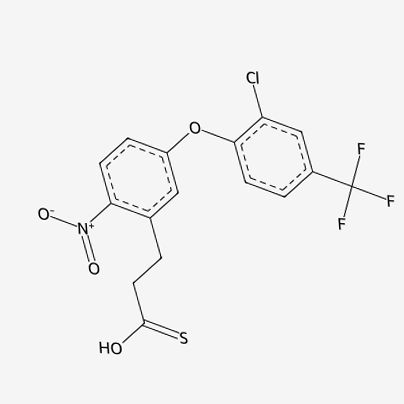 O=[N+]([O-])c1ccc(Oc2ccc(C(F)(F)F)cc2Cl)cc1CCC(O)=S